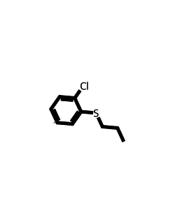 CCCSc1c[c]ccc1Cl